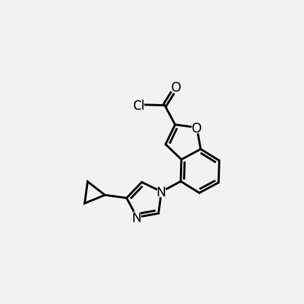 O=C(Cl)c1cc2c(-n3cnc(C4CC4)c3)cccc2o1